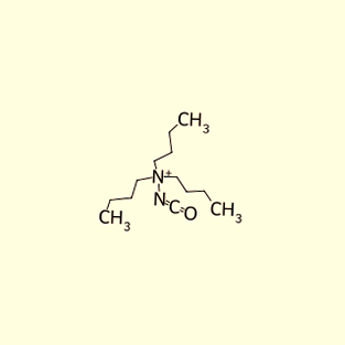 CCCC[N+](CCCC)(CCCC)N=C=O